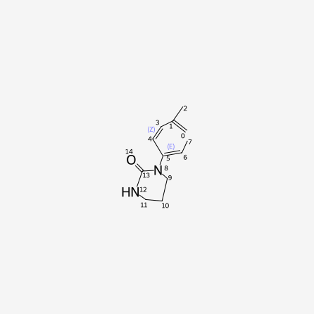 C=C(C)/C=C\C(=C/C)N1CCCNC1=O